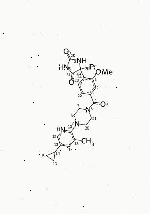 COc1cc(C(=O)N2CCN(c3ncc(C4CC4)cc3C)CC2)ccc1C1(C(C)C)NC(=O)NC1=O